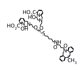 C/C1=C/c2ccccc2N(C(=O)CCC(=O)NCCCCCSC[C@H](COCCN(CCO)Cc2cccc(C(=O)O)n2)OCCN(CCO)Cc2cccc(C(=O)O)n2)Cc2ccccc21